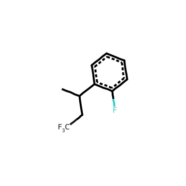 CC(CC(F)(F)F)c1ccccc1F